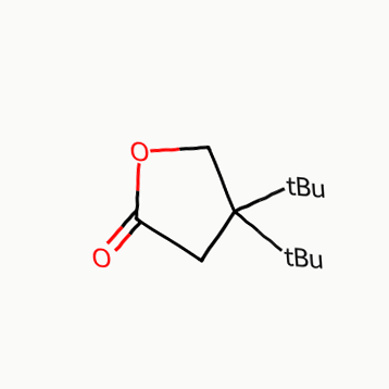 CC(C)(C)C1(C(C)(C)C)COC(=O)C1